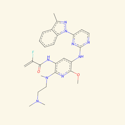 C=C(F)C(=O)Nc1cc(Nc2nccc(-n3nc(C)c4ccccc43)n2)c(OC)nc1N(C)CCN(C)C